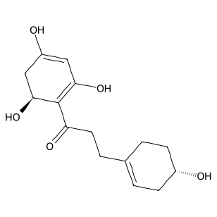 O=C(CCC1=CC[C@@H](O)CC1)C1=C(O)C=C(O)C[C@@H]1O